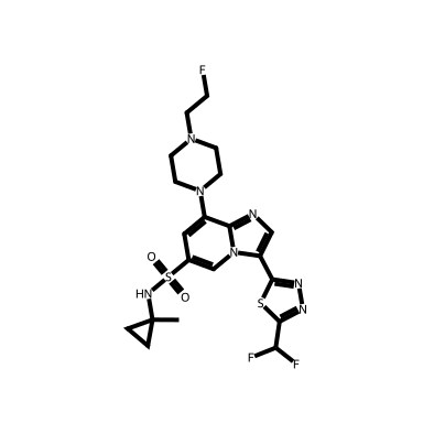 CC1(NS(=O)(=O)c2cc(N3CCN(CCF)CC3)c3ncc(-c4nnc(C(F)F)s4)n3c2)CC1